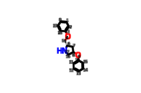 c1ccc(OC[C@@H]2CC(Oc3ccccc3)CN2)cc1